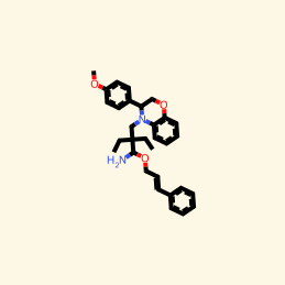 CCC(CC)(CN1c2ccccc2OCC1c1ccc(OC)cc1)C(N)OCC=Cc1ccccc1